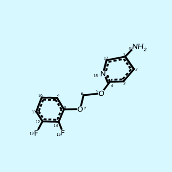 Nc1ccc(OCOc2cccc(F)c2F)nc1